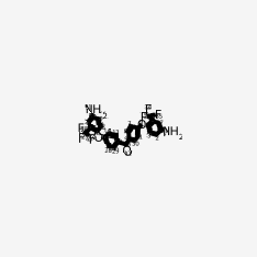 Nc1ccc(Oc2ccc(C(=O)c3ccc(Oc4ccc(N)cc4C(F)(F)F)cc3)cc2)c(C(F)(F)F)c1